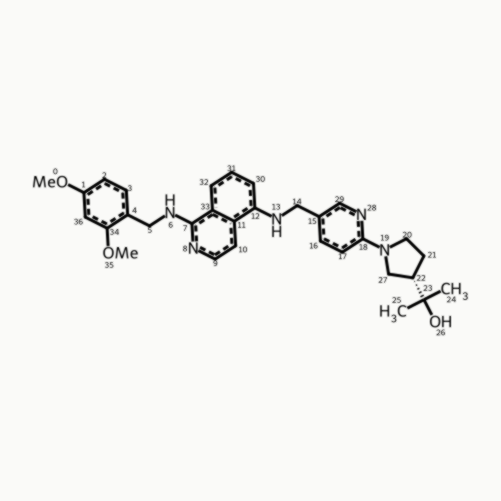 COc1ccc(CNc2nccc3c(NCc4ccc(N5CC[C@H](C(C)(C)O)C5)nc4)cccc23)c(OC)c1